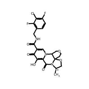 C[C@@H]1COC23CCOCC2n2cc(C(=O)NCc4ccc(F)c(Cl)c4F)c(=O)c(O)c2C(=O)N13